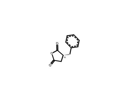 O=C1C[C@@H](Cc2ccccc2)C(=O)O1